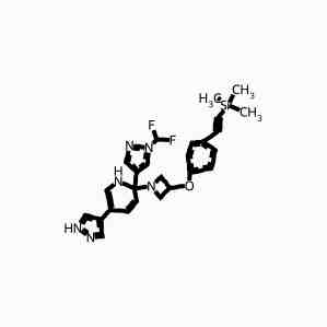 C[Si](C)(C)C#Cc1ccc(OC2CN(C3(c4cnn(C(F)F)c4)C=CC(c4cn[nH]c4)=CN3)C2)cc1